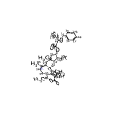 C=C1C2CC3C(C(C)C)C(OC(=O)C(CCCC)OCc4ccccc4)CC3(C)CC2/C(C)=C\CC2C(C)OC(=O)C(O)C12O